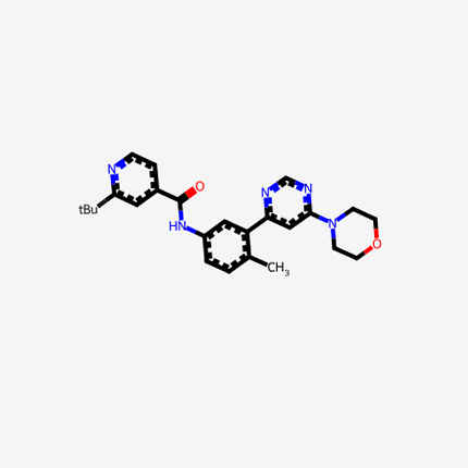 Cc1ccc(NC(=O)c2ccnc(C(C)(C)C)c2)cc1-c1cc(N2CCOCC2)ncn1